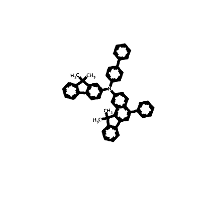 CC1(C)c2ccccc2-c2ccc(N(c3ccc(-c4ccccc4)cc3)c3ccc4c(-c5ccccc5)cc5c(c4c3)C(C)(C)c3ccccc3-5)cc21